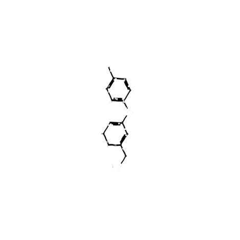 Cc1ccc(OC2=CCCC(CO)=C2)cc1